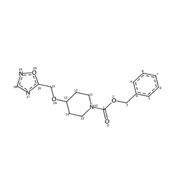 O=C(OCc1ccccc1)N1CCC(OCc2n[c]no2)CC1